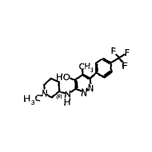 Cc1c(-c2ccc(C(F)(F)F)cc2)nnc(N[C@@H]2CCCN(C)C2)c1O